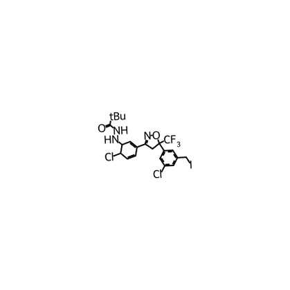 CC(C)(C)C(=O)NNC1C=C(C2=NOC(c3cc(Cl)cc(CI)c3)(C(F)(F)F)C2)C=CC1Cl